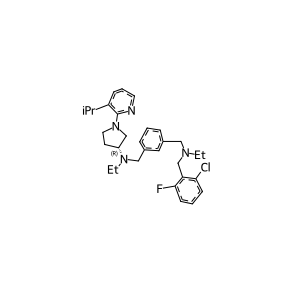 CCN(Cc1cccc(CN(CC)[C@@H]2CCN(c3ncccc3C(C)C)C2)c1)Cc1c(F)cccc1Cl